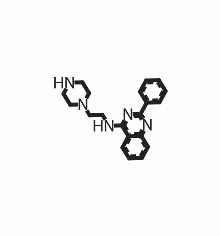 c1ccc(-c2nc(NCCN3CCNCC3)c3ccccc3n2)cc1